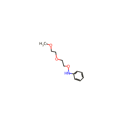 COCCOCCONc1ccccc1